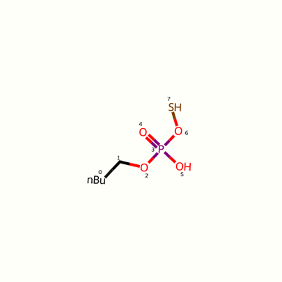 CCCCCOP(=O)(O)OS